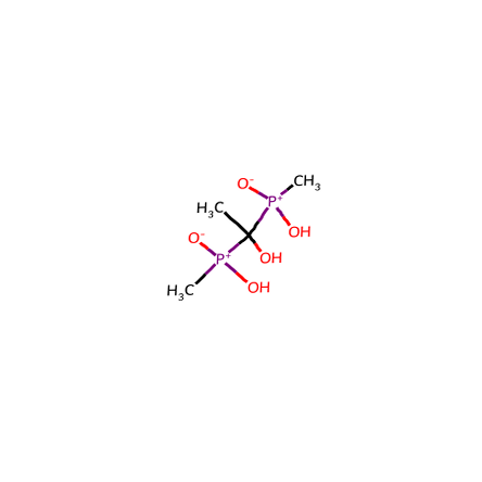 CC(O)([P+](C)([O-])O)[P+](C)([O-])O